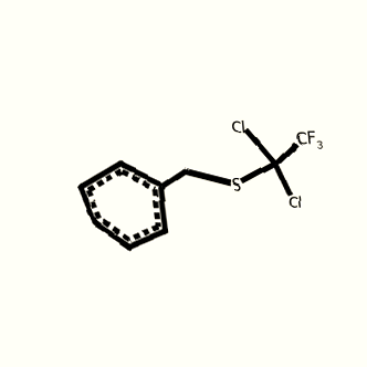 FC(F)(F)C(Cl)(Cl)SCc1ccccc1